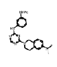 CC(=O)Nc1cccc(Nc2ncnc(N3CCc4cc([C@@H](C)F)ccc4C3)n2)c1